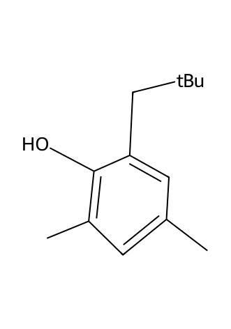 Cc1cc(C)c(O)c(CC(C)(C)C)c1